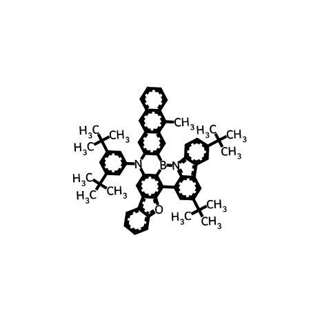 Cc1c2ccccc2cc2cc3c(cc12)B1c2c(cc4c(oc5ccccc54)c2-c2cc(C(C)(C)C)cc4c5cc(C(C)(C)C)ccc5n1c24)N3c1cc(C(C)(C)C)cc(C(C)(C)C)c1